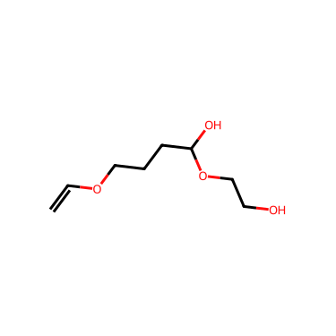 C=COCCCC(O)OCCO